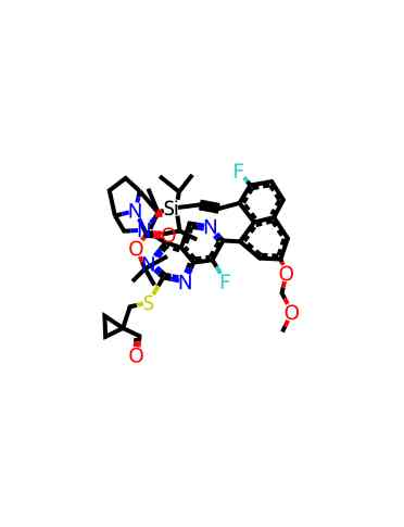 COCOc1cc(-c2ncc3c(N4CC5CCC(C4)N5C(=O)OC(C)(C)C)nc(SCC4(C=O)CC4)nc3c2F)c2c(C#C[Si](C(C)C)(C(C)C)C(C)C)c(F)ccc2c1